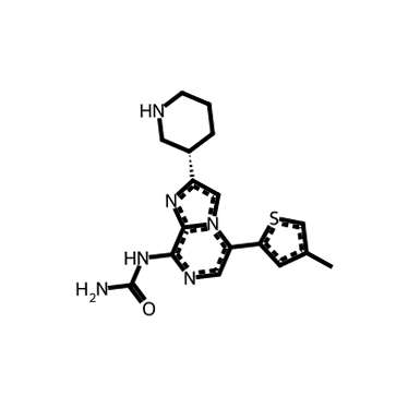 Cc1csc(-c2cnc(NC(N)=O)c3nc([C@H]4CCCNC4)cn23)c1